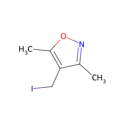 Cc1noc(C)c1CI